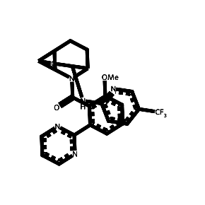 COc1cccc(-c2ncccn2)c1C(=O)N1C2CCC3C(CC2Nc2ccc(C(F)(F)F)cn2)C31